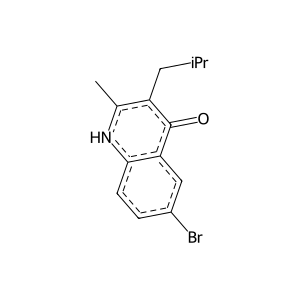 Cc1[nH]c2ccc(Br)cc2c(=O)c1CC(C)C